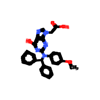 COc1ccc(N(c2nc(O)c3ncn(CC(=O)O)c3n2)C(c2ccccc2)c2ccccc2)cc1